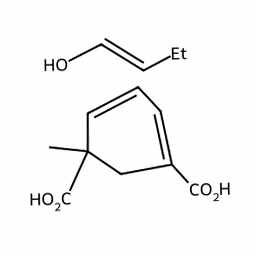 CC1(C(=O)O)C=CC=C(C(=O)O)C1.CCC=CO